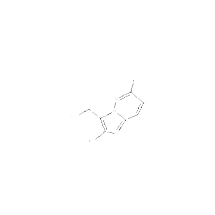 CCc1c(O)nc2ccc(Cl)nn12